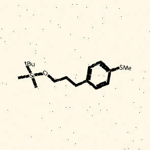 CSc1ccc(CCCO[Si](C)(C)C(C)(C)C)cc1